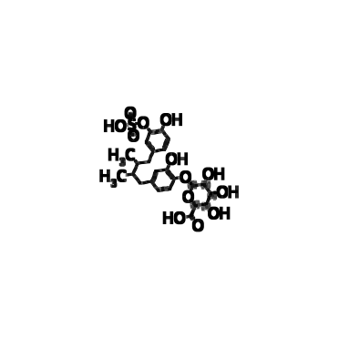 CC(Cc1ccc(O[C@@H]2O[C@H](C(=O)O)[C@@H](O)[C@H](O)[C@H]2O)c(O)c1)C(C)Cc1ccc(O)c(OS(=O)(=O)O)c1